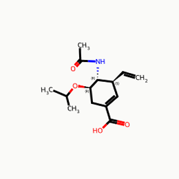 C=C[C@H]1C=C(C(=O)O)C[C@@H](OC(C)C)[C@@H]1NC(C)=O